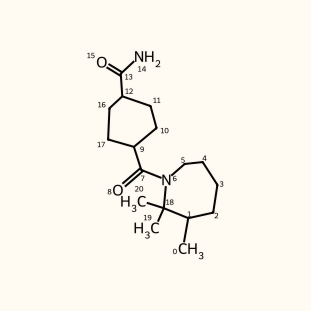 CC1CCCCN(C(=O)C2CCC(C(N)=O)CC2)C1(C)C